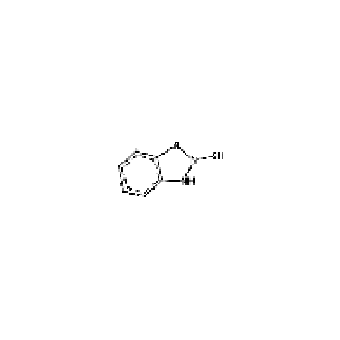 SN1[N]c2ccccc2N1